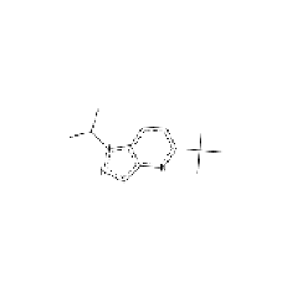 CC(C)n1ncc2nc(C(C)(C)C)ccc21